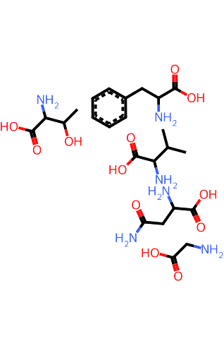 CC(C)C(N)C(=O)O.CC(O)C(N)C(=O)O.NC(=O)CC(N)C(=O)O.NC(Cc1ccccc1)C(=O)O.NCC(=O)O